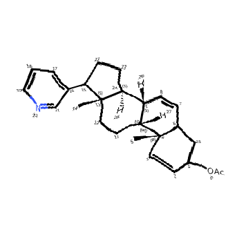 CC(=O)OC1C=C[C@@]2(C)C(C=C[C@@H]3[C@H]2CC[C@]2(C)C(c4cccnc4)CC[C@@H]32)C1